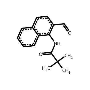 CC(C)(C)C(=O)Nc1c(C=O)ccc2ccccc12